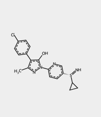 Cc1nn(-c2ccc([S@](=N)C3CC3)cn2)c(O)c1-c1ccc(Cl)cc1